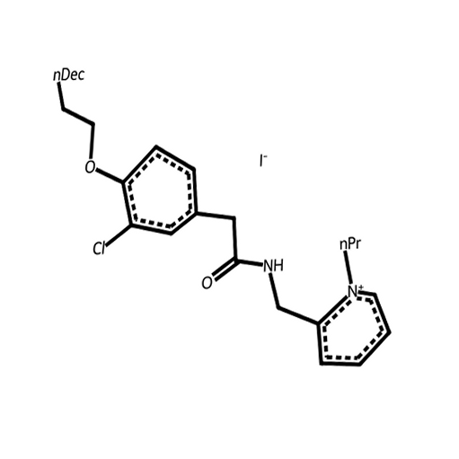 CCCCCCCCCCCCOc1ccc(CC(=O)NCc2cccc[n+]2CCC)cc1Cl.[I-]